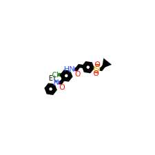 CCN(C(=O)c1ccc(NC(=O)Cc2ccc(S(=O)(=O)CC3CC3)cc2)cc1Cl)c1ccccc1